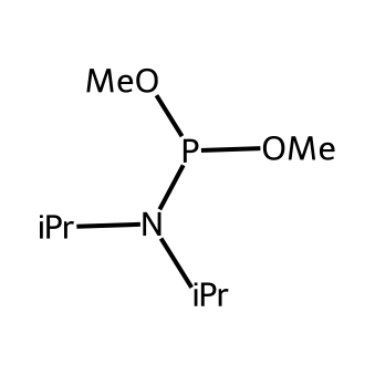 COP(OC)N(C(C)C)C(C)C